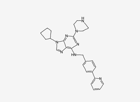 c1ccc(-c2ccc(CNc3nc(N4CCNCC4)nc4c3ncn4C3CCCC3)cc2)nc1